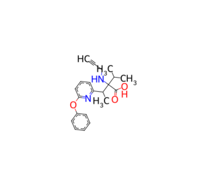 C#CCNC(C(=O)O)(C(C)C)C(C)c1cccc(Oc2ccccc2)n1